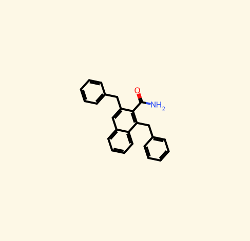 NC(=O)c1c(Cc2ccccc2)cc2ccccc2c1Cc1ccccc1